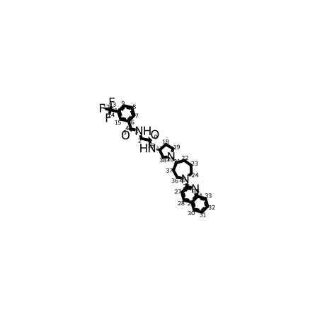 O=C(CNC(=O)c1cccc(C(F)(F)F)c1)N[C@@H]1CCN([C@@H]2CCCN(c3ccc4ccccc4n3)CC2)C1